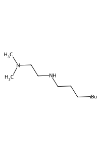 CCC(C)CCCNCCN(C)C